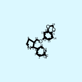 Fc1ccc(C2N=CCC2COc2ccc3c(c2)OCO3)cn1